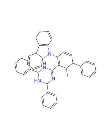 CC1C(C2=NC(c3ccccc3)NC(C3=CC=CCC3)N2)=C(N2C3=C(CCC=C3)C3C=CC=CC32)C=CC1c1ccccc1